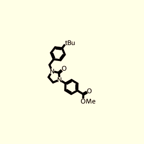 COC(=O)c1ccc(N2CCN(Cc3ccc(C(C)(C)C)cc3)C2=O)cc1